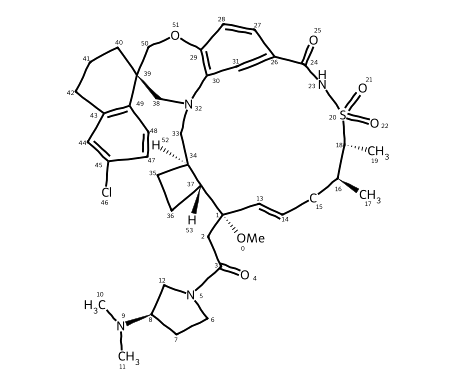 CO[C@@]1(CC(=O)N2CC[C@@H](N(C)C)C2)/C=C/C[C@H](C)[C@@H](C)S(=O)(=O)NC(=O)c2ccc3c(c2)N(C[C@@H]2CC[C@H]21)C[C@@]1(CCCc2cc(Cl)ccc21)CO3